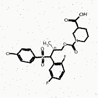 C[C@H](COC(=O)N1CCCC(C(=O)O)C1)C(c1cc(F)ccc1F)S(=O)(=O)c1ccc(Cl)cc1